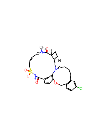 CN1C/C=C\CS(=O)(=O)NC(=O)c2ccc3c(c2)N(CCCCc2cc(Cl)ccc2CO3)C[C@@H]2CC[C@H]2C1=O